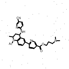 CC(=O)N1c2ccc(-c3ccc(C(=O)OCCCN(C)C)cn3)cc2C(Nc2ccc(C#N)cn2)CC1C